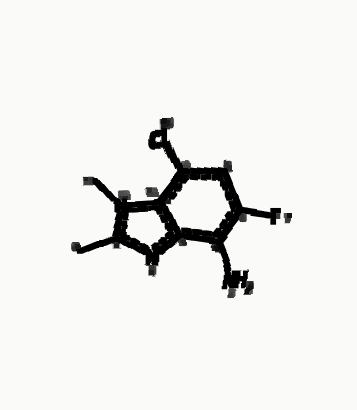 Cc1nc2c(N)c(F)cc(Cl)c2n1C